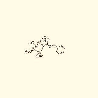 CC(=O)O[C@H]1[C@H](O)[C@@H](CO)N(C(=O)OCc2ccccc2)C[C@@H]1OC(C)=O